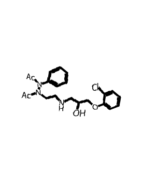 CC(=O)N(CCNCC(O)COc1ccccc1Cl)N(C(C)=O)c1ccccc1